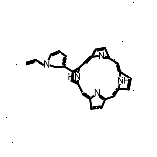 C=CCN1C=CC=C(c2cc3cc4nc(cc5ccc(cc6nc(cc2[nH]3)C=C6)[nH]5)C=C4)C1